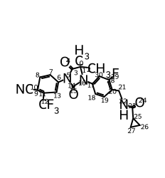 CC1(C)C(=O)N(c2ccc(C#N)c(C(F)(F)F)c2)C(=O)N1c1ccc(CNC(=O)C2CC2)c(F)c1